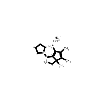 CCC1(C)C(C)=C(C)C(C)=[C]1[Ti][N]1CCCC1.Cl.Cl